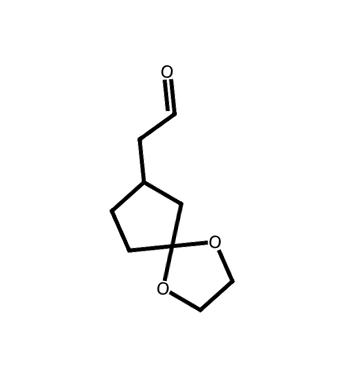 O=CCC1CCC2(C1)OCCO2